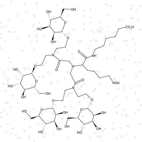 CCCCCCCCCCCCCCC(C(=O)NCCCCCC(=O)O)N(CC(=O)N(CCO[C@H]1O[C@H](CO)[C@@H](O)[C@H](O)[C@@H]1O)CCO[C@H]1O[C@H](CO)[C@@H](O)[C@H](O)[C@@H]1O)CC(=O)N(CCO[C@H]1O[C@H](CO)[C@@H](O)[C@H](O)[C@@H]1O)CCO[C@H]1O[C@H](CO)[C@@H](O)[C@H](O)[C@@H]1O